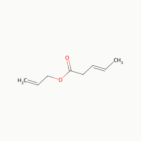 C=CCOC(=O)C/C=C/C